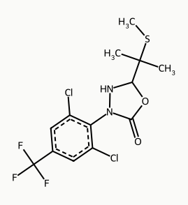 CSC(C)(C)C1NN(c2c(Cl)cc(C(F)(F)F)cc2Cl)C(=O)O1